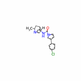 CC1CC2CCN1C[C@@H]2NC(=O)n1ccc(-c2ccc(Cl)cc2)c1